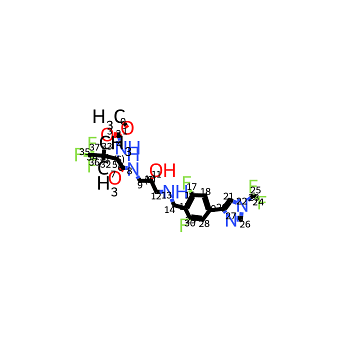 COC(=O)N[C@H](C(=O)NC[C@@H](O)CNCc1c(F)cc(-c2cn(C(F)F)cn2)cc1F)C(C)(C)C(F)(F)F